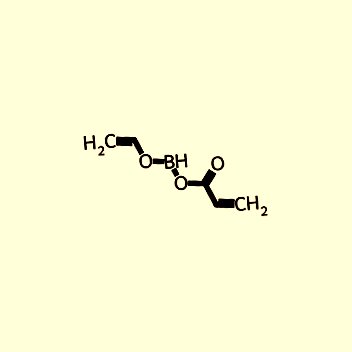 C=COBOC(=O)C=C